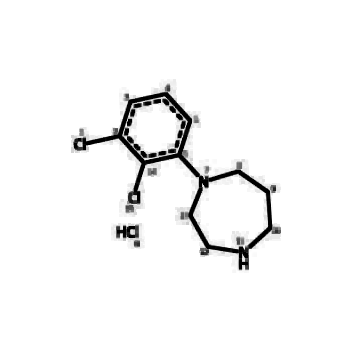 Cl.Clc1cccc(N2CCCNCC2)c1Cl